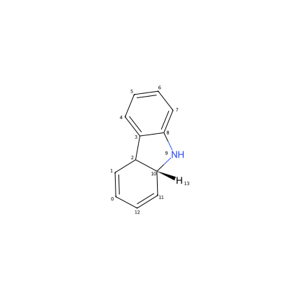 C1=CC2c3ccccc3N[C@@H]2C=C1